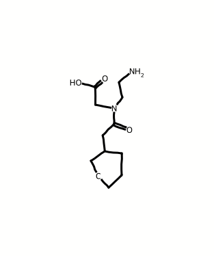 NCCN(CC(=O)O)C(=O)CC1CCCCC1